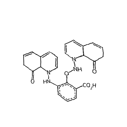 O=C(O)c1cccc(NN2C=CC=C3C=CCC(=O)C32)c1ONN1C=CC=C2C=CCC(=O)C21